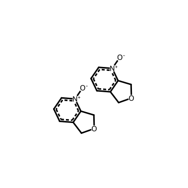 [O-][n+]1cccc2c1COC2.[O-][n+]1cccc2c1COC2